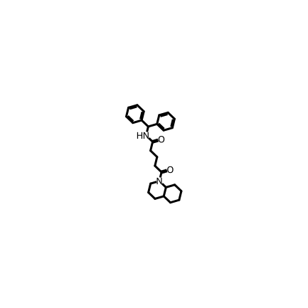 O=C(CCCC(=O)N1CCCC2CCCCC21)NC(c1ccccc1)c1ccccc1